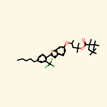 CCCCCc1ccc(-c2cc3ccc(OC(C)CC(C)(C)OC(=O)C(C)(CC(C)(C)C)C(C)(C)C)cc3s2)c(C(F)(F)F)c1